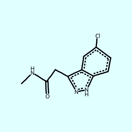 CNC(=O)Cc1n[nH]c2ccc(Cl)cc12